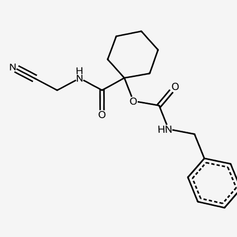 N#CCNC(=O)C1(OC(=O)NCc2ccccc2)CCCCC1